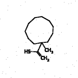 C=C(S)C1(C)CCCCCCCCCC1